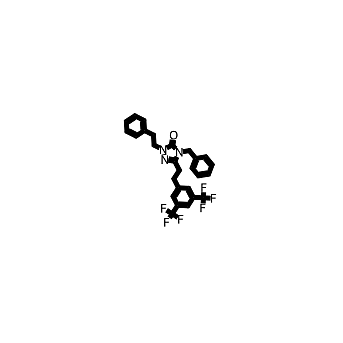 O=c1n(CCc2ccccc2)nc(CCc2cc(C(F)(F)F)cc(C(F)(F)F)c2)n1Cc1ccccc1